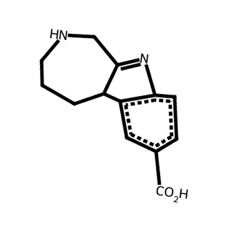 O=C(O)c1ccc2c(c1)C1CCCNCC1=N2